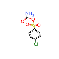 NC(=O)OS(=O)(=O)c1ccc(Cl)cc1